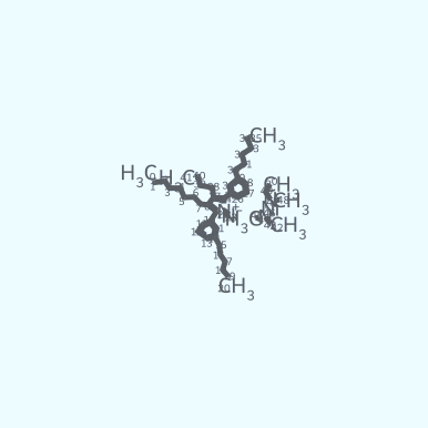 CCCCCCCCC1=C(c2cccc(CCCCCC)c2)[N+](=[N-])C(c2cccc(CCCCCC)c2)=C1CCCC.CC[N](C)[Ni][N](C)CC